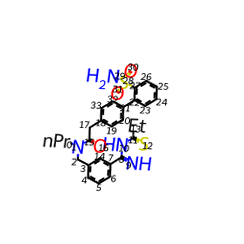 CCCN(Cc1cccc(C(=N)NC(=S)CC)c1)C(=O)Cc1ccc(-c2ccccc2S(N)(=O)=O)cc1